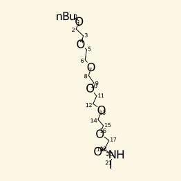 CCCCOCCOCCOCCOCCOCCOCC(=O)NI